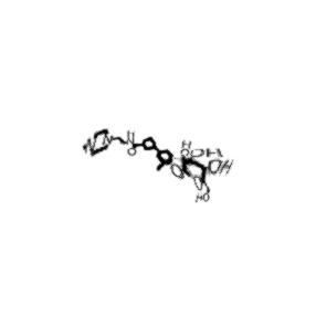 Cc1cc(-c2cccc(C(=O)NCCN3CCN(C)CC3)c2)ccc1O[C@H]1O[C@H](CO)[C@@H](O)[C@H](O)[C@]1(C)O